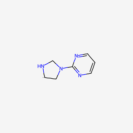 [CH]1CN(c2ncccn2)CN1